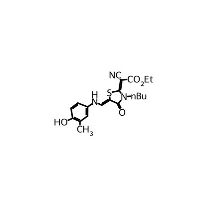 CCCCn1c(=C(C#N)C(=O)OCC)sc(=CNc2ccc(O)c(C)c2)c1=O